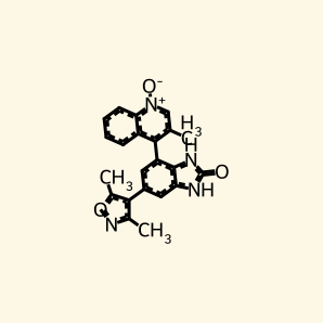 Cc1c[n+]([O-])c2ccccc2c1-c1cc(-c2c(C)noc2C)cc2[nH]c(=O)[nH]c12